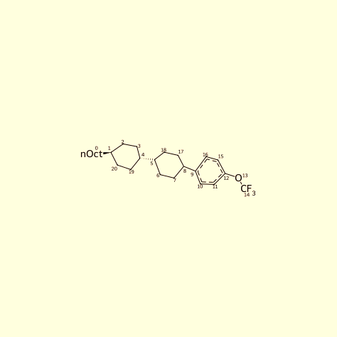 CCCCCCCC[C@H]1CC[C@H](C2CCC(c3ccc(OC(F)(F)F)cc3)CC2)CC1